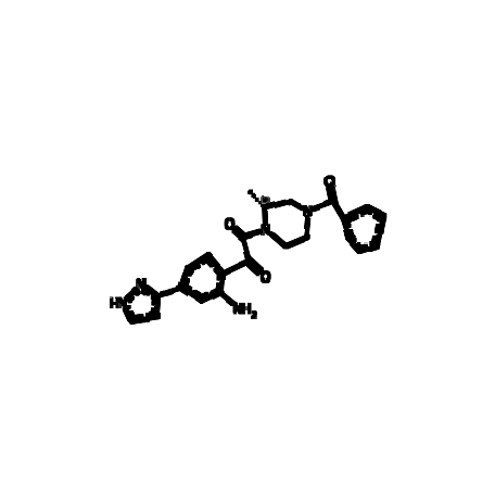 C[C@@H]1CN(C(=O)c2ccccc2)CCN1C(=O)C(=O)c1ccc(-c2cc[nH]n2)cc1N